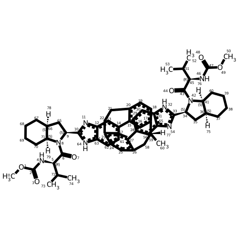 COC(=O)N[C@@H](C(=O)N1[C@H](c2nc3cc(-c4cc5ccc4CCc4ccc(c(-c6ccc7[nH]c([C@@H]8C[C@@H]9CCCC[C@@H]9N8C(=O)[C@H](NC(=O)OC)C(C)C)nc7c6)c4)C[C@H]5C)ccc3[nH]2)C[C@@H]2CCCC[C@@H]21)C(C)C